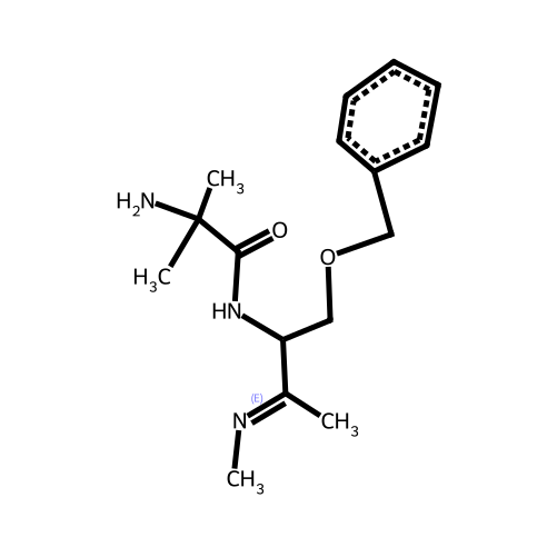 C/N=C(\C)C(COCc1ccccc1)NC(=O)C(C)(C)N